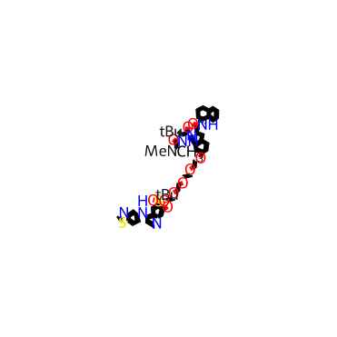 CNC(C)C(=O)NC(C(=O)N1Cc2cc(OCCOCCOCCOCCOc3cc4nccc(Nc5ccc6scnc6c5)c4cc3S(=O)(=O)C(C)(C)C)ccc2CC1C(=O)N[C@@H]1CCCc2ccccc21)C(C)(C)C